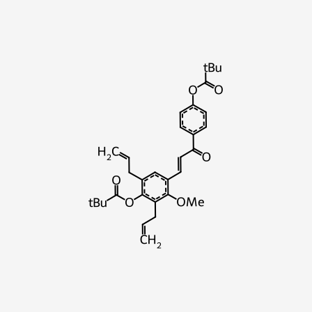 C=CCc1cc(/C=C/C(=O)c2ccc(OC(=O)C(C)(C)C)cc2)c(OC)c(CC=C)c1OC(=O)C(C)(C)C